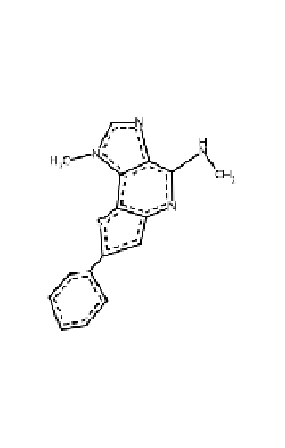 CNc1nc2cc(-c3ccccc3)sc2c2c1ncn2C